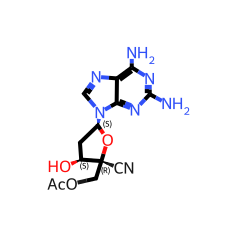 CC(=O)OC[C@@]1(C#N)O[C@H](n2cnc3c(N)nc(N)nc32)C[C@@H]1O